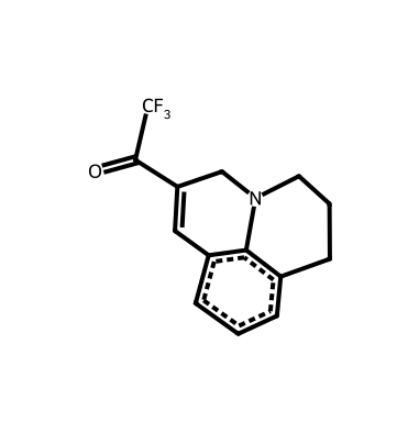 O=C(C1=Cc2cccc3c2N(CCC3)C1)C(F)(F)F